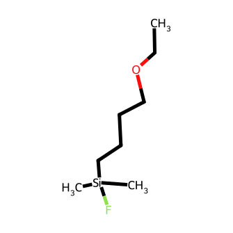 CCOCCCC[Si](C)(C)F